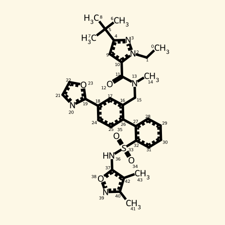 CCn1nc(C(C)(C)C)cc1C(=O)N(C)Cc1cc(-c2ncco2)ccc1-c1ccccc1S(=O)(=O)Nc1onc(C)c1C